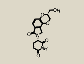 O=C1CC[C@H](N2Cc3c(ccc4c3OC[C@H](CO)O4)C2=O)C(=O)N1